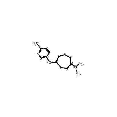 Cc1ccc(OC2CCCC(N(C)C)CC2)cn1